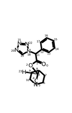 O=C(O[C@H]1CN2CCC1CC2)C(c1ccccc1)n1cnnn1